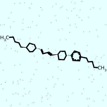 CCCCCc1ccc([C@H]2CC[C@H](C#CC=C[C@H]3CC[C@H](CCCCC)CC3)CC2)cc1